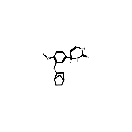 COc1ccc(C2(O)C=CNC(=O)N2)cc1OC1CC2CCC1C2